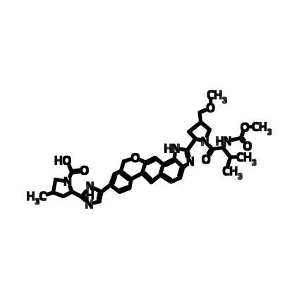 COCC1CC(c2nc3ccc4cc5c(cc4c3[nH]2)OCc2cc(-c3cnc(C4CC(C)CN4C(=O)O)[nH]3)ccc2-5)N(C(=O)C(NC(=O)OC)C(C)C)C1